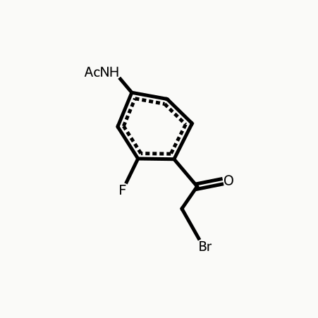 CC(=O)Nc1ccc(C(=O)CBr)c(F)c1